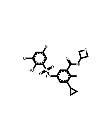 O=C(NC1COC1)c1cc(NS(=O)(=O)c2cc(Br)cc(Cl)c2O)cc(C2CC2)c1F